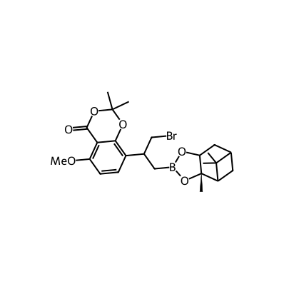 COc1ccc(C(CBr)CB2OC3CC4CC(C4(C)C)[C@]3(C)O2)c2c1C(=O)OC(C)(C)O2